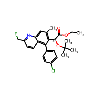 CCOC(=O)[C@@H](OC(C)(C)C)c1c(C)cc2nc(CF)ccc2c1-c1ccc(Cl)cc1